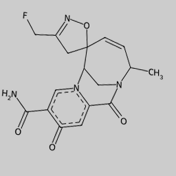 CC1C=CC2(CC(CF)=NO2)C2CN1C(=O)c1cc(=O)c(C(N)=O)cn12